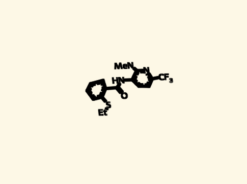 CCSc1ccccc1C(=O)Nc1ccc(C(F)(F)F)nc1NC